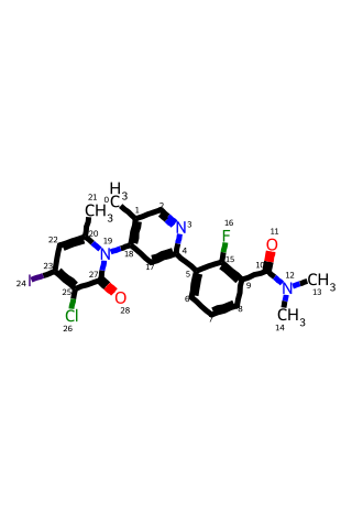 Cc1cnc(-c2cccc(C(=O)N(C)C)c2F)cc1-n1c(C)cc(I)c(Cl)c1=O